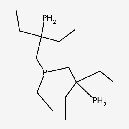 CCP(CC(P)(CC)CC)CC(P)(CC)CC